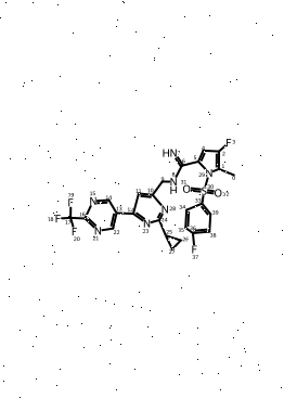 Cc1c(F)cc(C(=N)NCc2cc(-c3cnc(C(F)(F)F)nc3)nc(C3CC3)n2)n1S(=O)(=O)c1ccc(F)cc1